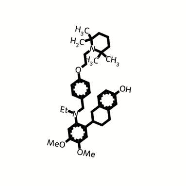 CCN(Cc1ccc(OCCN2C(C)(C)CCCC2(C)C)cc1)c1cc(OC)c(OC)cc1C1CCc2cc(O)ccc2C1